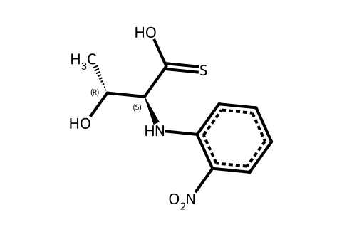 C[C@@H](O)[C@H](Nc1ccccc1[N+](=O)[O-])C(O)=S